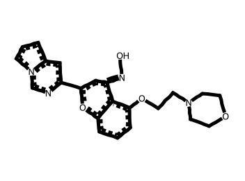 ON=c1cc(-c2cc3cccn3cn2)oc2cccc(OCCN3CCOCC3)c12